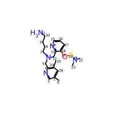 Cc1cnc(CN(CCCCN)Cc2ncccc2OSN(C)C)c(C)c1